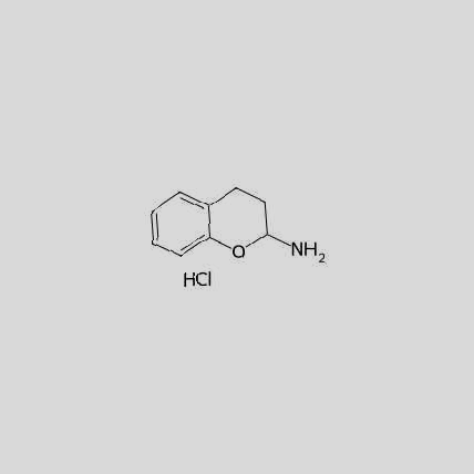 Cl.NC1CCc2ccccc2O1